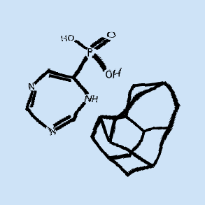 C1C2CC3C4CC5CC(C14)C(C2)C3C5.O=P(O)(O)C1=CN=CN=CN1